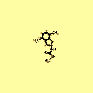 CNC(=S)NN1Cc2c(C)ccc(C)c2C1